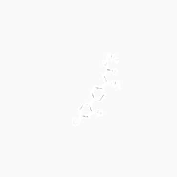 COC(=O)C=C(C)c1ccc(-c2ccc(Br)cc2Br)cc1